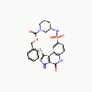 O=C(O)c1c[nH]c2c(=O)[nH]c3ccc(S(=O)(=O)NC4CCCN(C(=O)OCc5ccccc5)C4)cc3c12